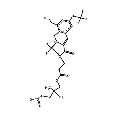 CCc1cc(OC(F)(F)F)cc2c1O[C@H](C(F)(F)F)C(C(=O)OCOC(=O)OCC(C)(C)CO[N+](=O)[O-])=C2